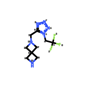 FC(F)(F)Cn1nnnc1CN1CC2(CNC2)C1